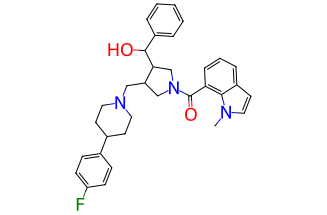 Cn1ccc2cccc(C(=O)N3CC(CN4CCC(c5ccc(F)cc5)CC4)C(C(O)c4ccccc4)C3)c21